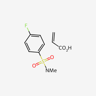 C=CC(=O)O.CNS(=O)(=O)c1ccc(F)cc1